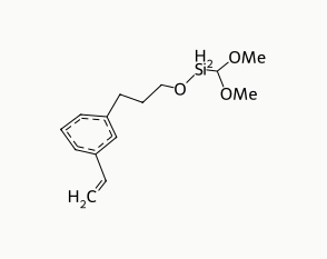 C=Cc1cccc(CCCO[SiH2]C(OC)OC)c1